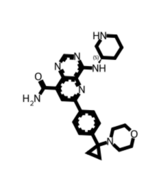 NC(=O)c1cc(-c2ccc(C3(N4CCOCC4)CC3)cc2)nc2c(N[C@H]3CCCNC3)ncnc12